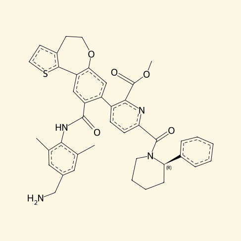 COC(=O)c1nc(C(=O)N2CCCC[C@@H]2c2ccccc2)ccc1-c1cc2c(cc1C(=O)Nc1c(C)cc(CN)cc1C)-c1sccc1CCO2